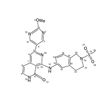 COc1ncc(-c2cc3cc[nH]c(=O)c3c(Nc3ccc4c(c3)CCN(S(C)(=O)=O)C4)n2)cn1